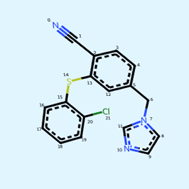 N#Cc1ccc(Cn2ccnc2)cc1Sc1ccccc1Cl